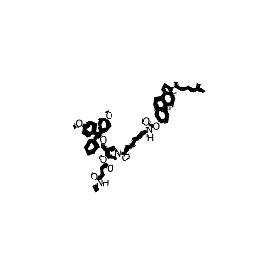 C=CNC(=O)CCC(=O)OC1CN(C(=O)CCCCCNC(=O)OC2CC[C@@]3(C)C(=CCC4C3CC[C@@]3(C)C4CC[C@@H]3C(C)CCCC(C)C)C2)CC1COC(c1ccccc1)(c1ccc(OC)cc1)c1ccc(OC)cc1